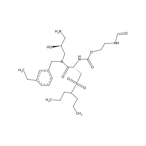 CCCC(CCC)S(=O)(=O)C[C@@H](NC(=O)OCCNC=O)C(=O)N(Cc1cccc(CC)c1)C[C@@H](O)CN